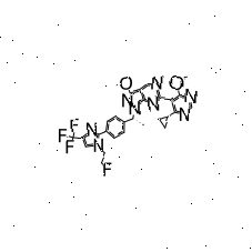 COc1ncnc(C2CC2)c1-c1ncc2c(OC)nn([C@H](C)c3ccc(-c4nc(C(F)(F)F)cn4CCF)cc3)c2n1